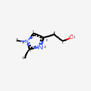 Cc1nc(CC[O])cn1C